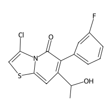 CC(O)c1cc2scc(Cl)n2c(=O)c1-c1cccc(F)c1